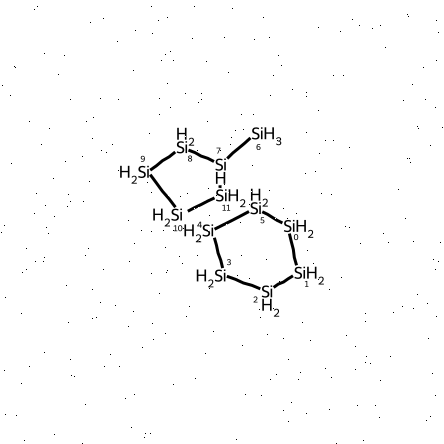 [SiH2]1[SiH2][SiH2][SiH2][SiH2][SiH2]1.[SiH3][SiH]1[SiH2][SiH2][SiH2][SiH2]1